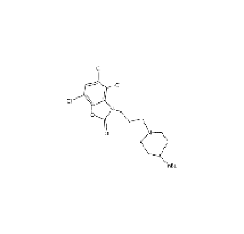 CCCCC1CCN(CCCn2c(=O)oc3c(Cl)cc(Cl)c(Cl)c32)CC1